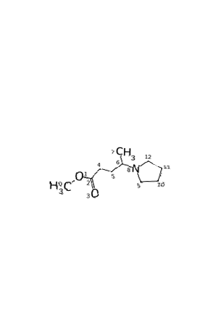 COC(=O)CCC(C)N1CCCC1